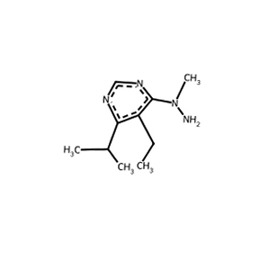 CCc1c(C(C)C)ncnc1N(C)N